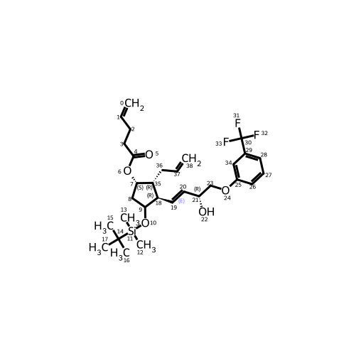 C=CCCC(=O)O[C@H]1CC(O[Si](C)(C)C(C)(C)C)[C@H](/C=C/[C@@H](O)COc2cccc(C(F)(F)F)c2)[C@H]1CC=C